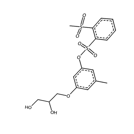 Cc1cc(OCC(O)CO)cc(OS(=O)(=O)c2ccccc2S(C)(=O)=O)c1